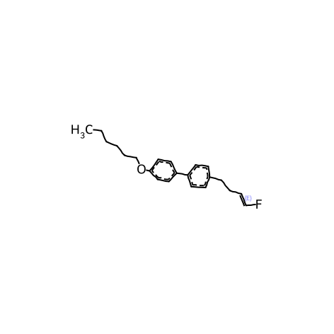 CCCCCCOc1ccc(-c2ccc(CC/C=C/F)cc2)cc1